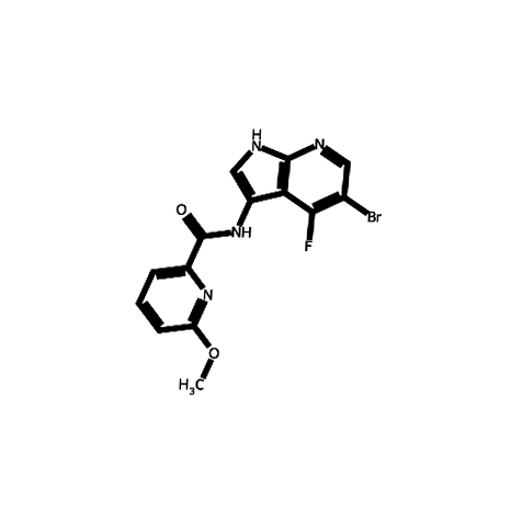 COc1cccc(C(=O)Nc2c[nH]c3ncc(Br)c(F)c23)n1